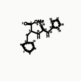 COC(=O)[C@H](Cc1ccccc1)NC(=S)Nc1nccs1